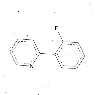 Fc1ccccc1-c1ccc[c]n1